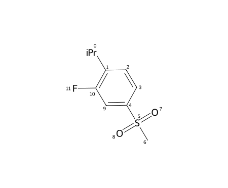 CC(C)c1ccc(S(C)(=O)=O)cc1F